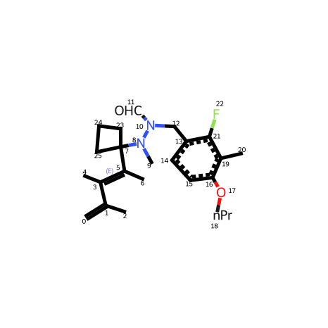 C=C(C)/C(C)=C(\C)C1(N(C)N(C=O)Cc2ccc(OCCC)c(C)c2F)CCC1